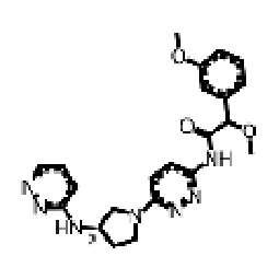 COc1cccc(C(OC)C(=O)Nc2ccc(N3CC[C@@H](Nc4cccnn4)C3)nn2)c1